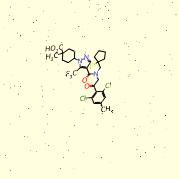 Cc1cc(Cl)c(C(=O)CN(CC2(F)CCCC2)C(=O)c2cnn(C3CCC(C)(C(=O)O)CC3)c2C(F)(F)F)c(Cl)c1